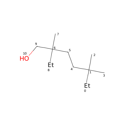 CCC(C)(C)CCC(C)(CC)CO